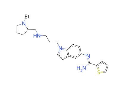 CCN1CCCC1CNCCCn1ccc2cc(N=C(N)c3cccs3)ccc21